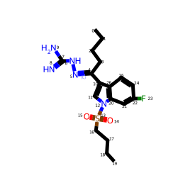 CCCC/C(=N\NC(=N)N)c1cn(S(=O)(=O)CCCC)c2cc(F)ccc12